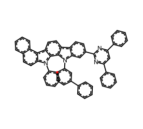 c1ccc(-c2cccc(-n3c4cc(-c5nc(-c6ccccc6)cc(-c6ccccc6)n5)ccc4c4ccc5c6c7ccccc7ccc6n(-c6ccccc6)c5c43)c2)cc1